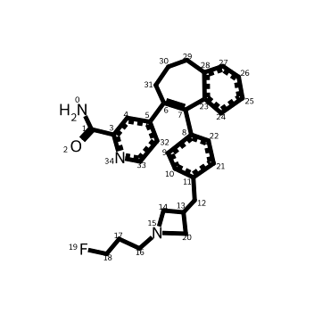 NC(=O)c1cc(C2=C(c3ccc(CC4CN(CCCF)C4)cc3)c3ccccc3CCC2)ccn1